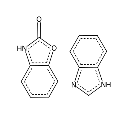 O=c1[nH]c2ccccc2o1.c1ccc2[nH]cnc2c1